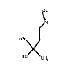 CCCCNCCC(C)(O)CCC